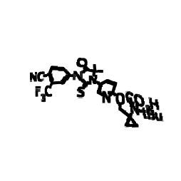 CC(C)(C)N(C(=O)O)C1(COc2ccc(N3C(=S)N(c4ccc(C#N)c(C(F)(F)F)c4)C(=O)C3(C)C)cn2)CC1